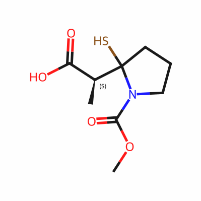 COC(=O)N1CCCC1(S)[C@@H](C)C(=O)O